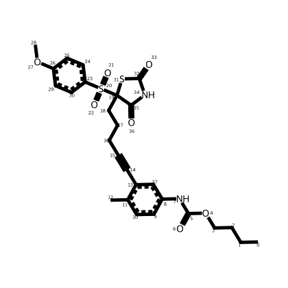 CCCCOC(=O)Nc1ccc(C)c(C#CCCCC2(S(=O)(=O)c3ccc(OC)cc3)SC(=O)NC2=O)c1